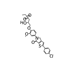 CCS(=O)(=O)CC(O)COc1ccc(N2Cc3cc(-c4ccc(Cl)cc4)sc3C2=O)cc1OC